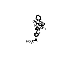 CC1CCCCCN1C(=O)c1cc(C2(C)COC2)n2nc(-c3ccc([C@@H]4CC4C(=O)O)cc3F)cc2n1